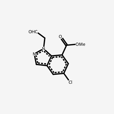 COC(=O)c1cc(Cl)cc2cnn(CC=O)c12